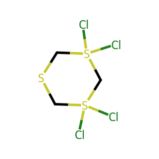 ClS1(Cl)CSCS(Cl)(Cl)C1